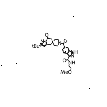 COCCNC(=O)c1n[nH]c2cc(C(=O)N3CCC4(CC3)CC(=O)c3nn(C(C)(C)C)cc3C4)ccc12